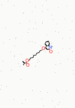 C=C(C)C(=O)OCCCCCCCCCOc1cc(=O)n(C)c2ccccc12